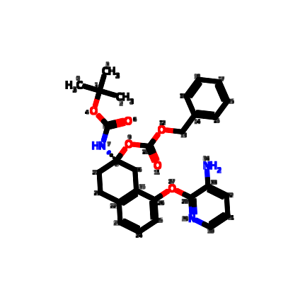 CC(C)(C)OC(=O)N[C@@]1(OC(=O)OCc2ccccc2)CCc2cccc(Oc3ncccc3N)c2C1